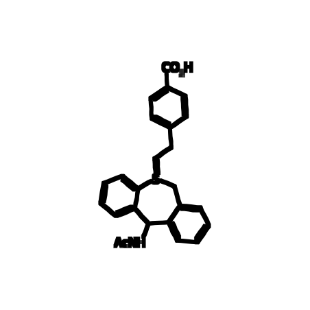 CC(=O)NC1c2ccccc2CS(=CCc2ccc(C(=O)O)cc2)c2ccccc21